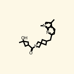 Cc1cn(C)c2nc(CC3CC4(C3)CN(C(=O)C3CC(C)(O)C3)C4)ccc12